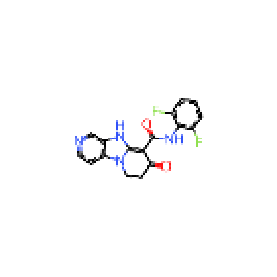 O=C1CCN2C(=C1C(=O)Nc1c(F)cccc1F)Nc1cnccc12